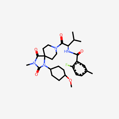 COC1CCC(N2C(=O)N(C)C(=O)C23CCN(C(=O)[C@H](NC(=O)c2cc(C)ccc2F)C(C)C)CC3)CC1